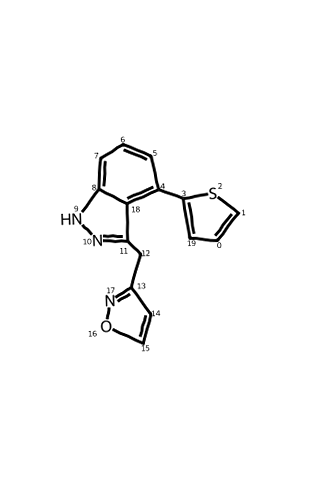 c1csc(-c2cccc3[nH]nc(Cc4ccon4)c23)c1